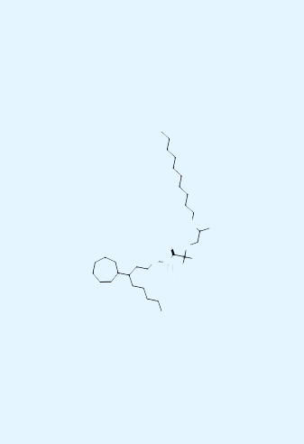 CCCCCCCCCCOC(C)COC(O)([PH2]=O)C(=O)OSCCC(CCCCC)C1CCCCCC1